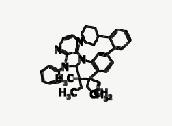 C=CC1(CC)c2ccc(-c3ccccc3C3CCCCC3)cc2N2c3nccnc3N(c3ccccc3)C2C1(C)CC